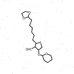 O=CC1C(OC2CCCCO2)CSC1CCCCCCC1OCCO1